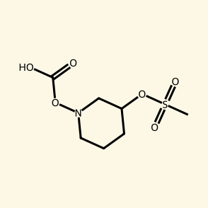 CS(=O)(=O)OC1CCCN(OC(=O)O)C1